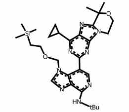 CC(C)(C)Nc1ncc(-c2nc(C3CC3)c3nc4n(c3n2)CCOC4(C)C)c2c1ncn2COCC[Si](C)(C)C